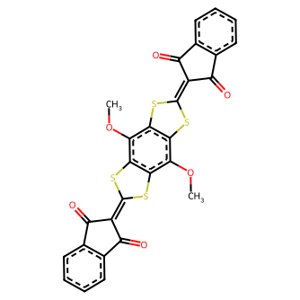 COc1c2c(c(OC)c3c1SC(=C1C(=O)c4ccccc4C1=O)S3)SC(=C1C(=O)c3ccccc3C1=O)S2